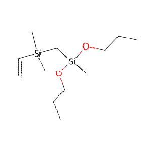 C=C[Si](C)(C)C[Si](C)(OCCC)OCCC